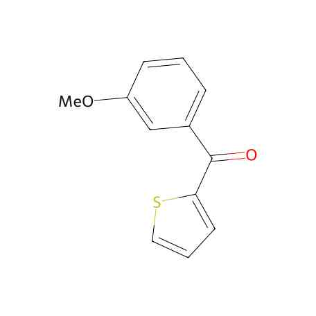 COc1cccc(C(=O)c2cccs2)c1